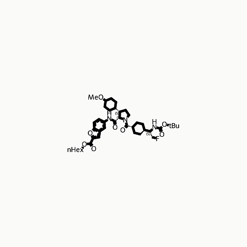 CCCCCCOC(=O)c1cc2cc(NC(=O)[C@@H]3[C@H](C4CCC(OC)CC4)CCN3C(=O)[C@H]3CC[C@H]([C@@H](CF)NC(=O)OC(C)(C)C)CC3)ccc2o1